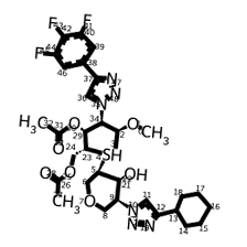 CO[C@H]1C[SH]([C@@H]2COC[C@H](n3cc(C4CCCCC4)nn3)[C@H]2O)[C@H](COC(C)=O)[C@H](OC(C)=O)[C@H]1n1cc(-c2cc(F)c(F)c(F)c2)nn1